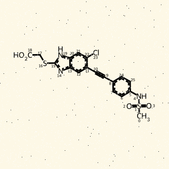 CS(=O)(=O)Nc1ccc(C#Cc2cc3nc(SCC(=O)O)[nH]c3cc2Cl)cc1